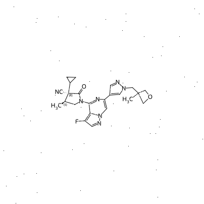 C[C@@H]1CN(c2nc(-c3cnn(CC4(C)COC4)c3)cn3ncc(F)c23)C(=O)[C@]1(C#N)C1CC1